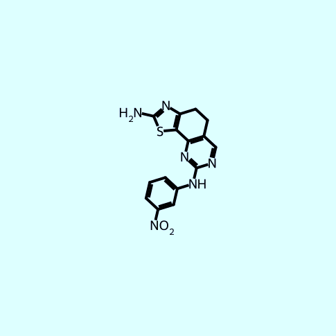 Nc1nc2c(s1)-c1nc(Nc3cccc([N+](=O)[O-])c3)ncc1CC2